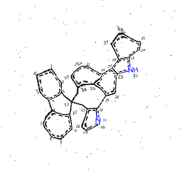 c1ccc2c(c1)-c1ccccc1C21c2cccnc2-c2cc3[nH]c4ccccc4c3c3cccc1c23